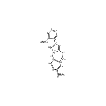 CSc1ccccc1-c1cc2n(n1)Cc1ccc(NC(C)=O)cc1OC2